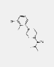 C=C(C)C(=O)N1CCN(c2cccc(Cl)c2C)CC1